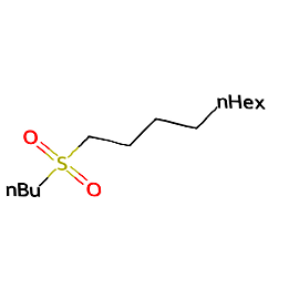 CCCCCCCCCCS(=O)(=O)CCCC